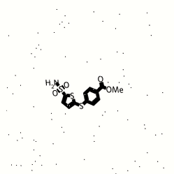 COC(=O)c1ccc(Sc2ccc(S(N)(=O)=O)s2)cc1